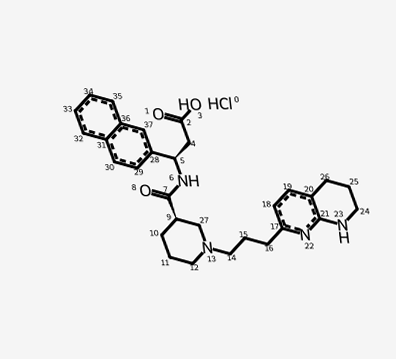 Cl.O=C(O)C[C@@H](NC(=O)[C@@H]1CCCN(CCCc2ccc3c(n2)NCCC3)C1)c1ccc2ccccc2c1